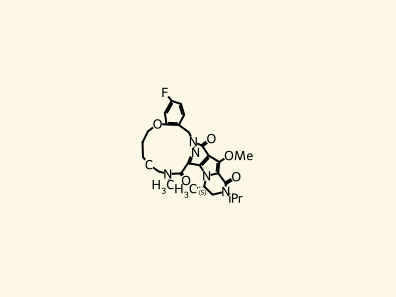 COc1c2n(c3c4nn(c(=O)c13)Cc1ccc(F)cc1OCCCCCN(C)C4=O)[C@@H](C)CN(C(C)C)C2=O